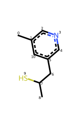 Cc1cncc(CC(C)S)c1